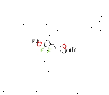 CCCC1=CCC(CCc2ccc(OCC)c(F)c2F)CO1